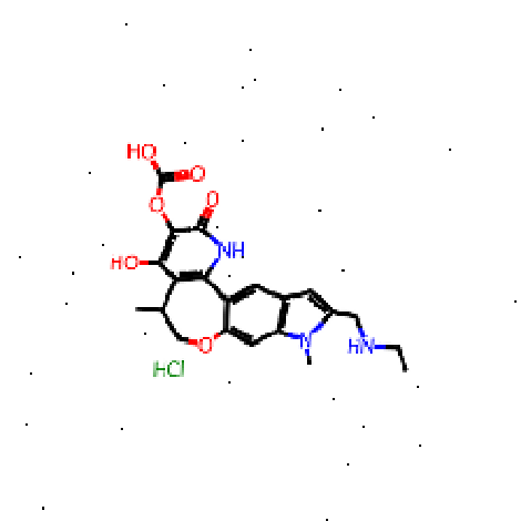 CCNCc1cc2cc3c(cc2n1C)OCC(C)c1c-3[nH]c(=O)c(OC(=O)O)c1O.Cl